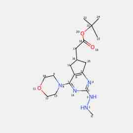 CNNc1nc2c(c(N3CCOCC3)n1)CC(CC(=O)OC(C)(C)C)C2